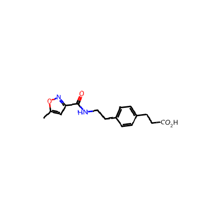 Cc1cc(C(=O)NCCc2ccc(CCC(=O)O)cc2)no1